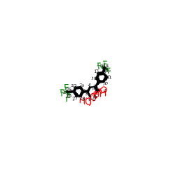 O=C(O)C(C[C@H](C(=O)O)c1ccc(C(F)(F)F)cc1)c1ccc(C(F)(F)F)cc1